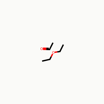 CC=O.CCOCC